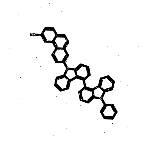 N#Cc1ccc2ccc3cc(-n4c5ccccc5c5c(-c6cccc7c6c6ccccc6n7-c6ccccc6)cccc54)ccc3c2c1